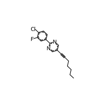 CCCCCC#Cc1cnc(-c2ccc(Cl)c(F)c2)nc1